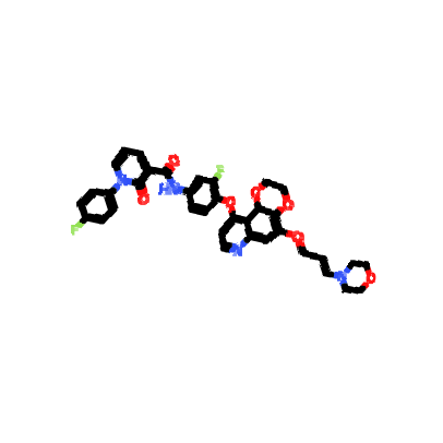 O=C(Nc1ccc(OC2=CC=NC3=CC(OCCCN4CCOCC4)=C4OCCOC4C32)c(F)c1)c1cccn(-c2ccc(F)cc2)c1=O